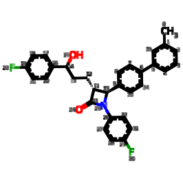 Cc1cccc(-c2ccc([C@@H]3[C@@H](CC[C@H](O)c4ccc(F)cc4)C(=O)N3c3ccc(F)cc3)cc2)c1